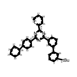 CC(C)(C)c1cccc(-c2cccc(-c3nc(-c4ccccc4)nc(-c4ccc(-c5ccccc5)cc4)n3)c2)c1